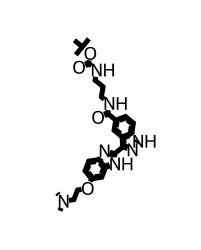 CN(C)CCOc1ccc2nc(-c3n[nH]c4ccc(C(=O)NCCCNC(=O)OC(C)(C)C)cc34)[nH]c2c1